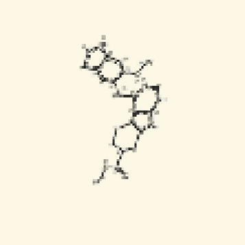 CC(C)NC(=O)C1CCc2c(sc3ncnc(Nc4cc5cn[nH]c5cc4OC(C)C)c23)C1